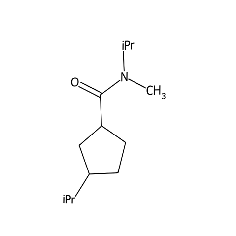 CC(C)C1CCC(C(=O)N(C)C(C)C)C1